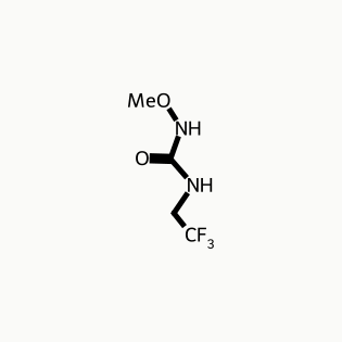 CONC(=O)NCC(F)(F)F